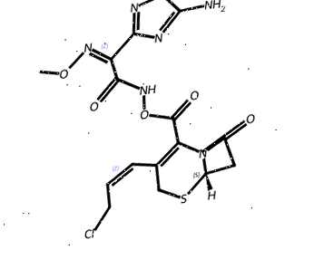 CO/N=C(\C(=O)NOC(=O)C1=C(/C=C\CCl)CS[C@H]2CC(=O)N12)c1nsc(N)n1